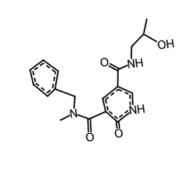 CC(O)CNC(=O)c1c[nH]c(=O)c(C(=O)N(C)Cc2ccccc2)c1